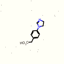 O=C(O)Cc1ccc(N2C=NCC2)cc1